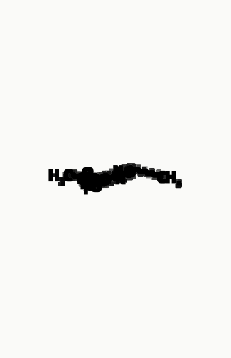 CCCCCCCCc1ccc(-c2ncc(-c3ccc(C(=O)OC(C(=O)OCCCC)C(F)(F)F)cc3)cn2)cc1